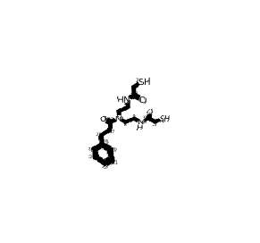 O=C(CS)NCCN(CCNC(=O)CS)C(=O)CCc1ccccc1